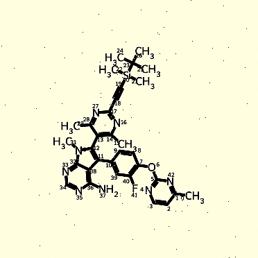 Cc1ccnc(Oc2ccc(-c3c(-c4c(C)nc(C#C[Si](C)(C)C(C)(C)C)nc4C)n(C)c4ncnc(N)c34)cc2F)n1